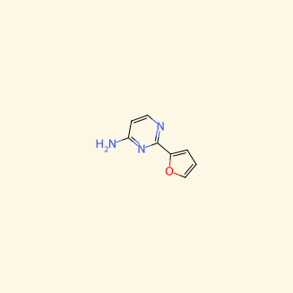 Nc1ccnc(-c2ccco2)n1